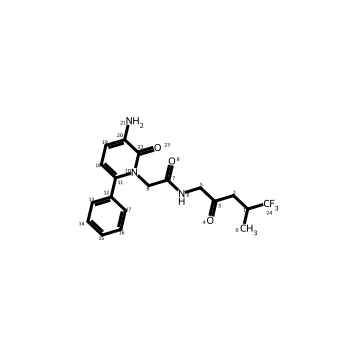 CC(CC(=O)CNC(=O)Cn1c(-c2ccccc2)ccc(N)c1=O)C(F)(F)F